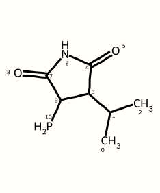 CC(C)C1C(=O)NC(=O)C1P